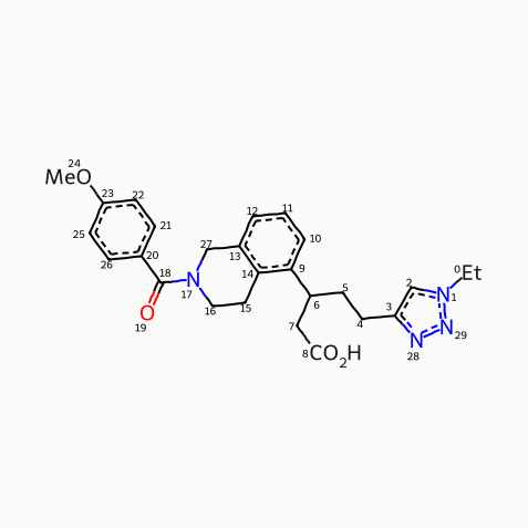 CCn1cc(CCC(CC(=O)O)c2cccc3c2CCN(C(=O)c2ccc(OC)cc2)C3)nn1